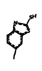 Sc1nc2ccc(I)cc2s1